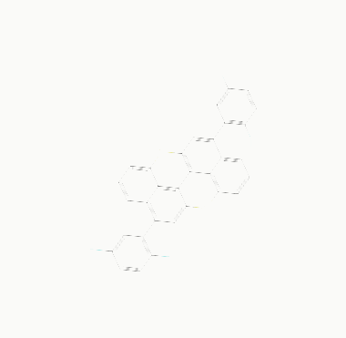 Fc1ccc(F)c(-c2cc3sc4cccc5c(-c6cc(F)ccc6F)cc6sc7cccc2c7c3-c6c45)c1